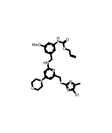 C=CCOC(=O)Nc1cc(CNc2cc(N3CCOCC3)cc(CSc3nc(C)c(CC)s3)n2)cc(OC)c1